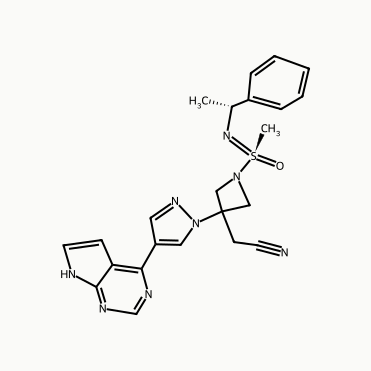 C[C@@H](N=[S@](C)(=O)N1CC(CC#N)(n2cc(-c3ncnc4[nH]ccc34)cn2)C1)c1ccccc1